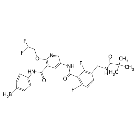 Bc1ccc(NC(=O)c2cc(NC(=O)c3c(F)ccc(CNC(=O)C(C)(C)C)c3F)cnc2OCC(F)F)cc1